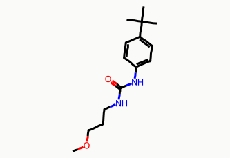 COCCCNC(=O)Nc1ccc(C(C)(C)C)cc1